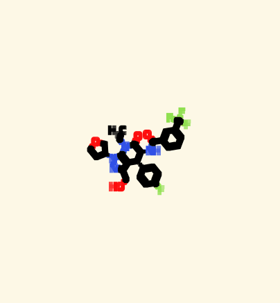 CCN1C(=O)[C@H](NC(=O)c2cccc(C(F)(F)F)c2)[C@H](c2ccc(F)cc2)c2c(CO)nn([C@@H]3CCOC3)c21